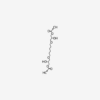 C#CC(=O)OCC(O)COCCCCCCOCC(O)COC(=O)C#C